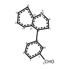 O=Cc1cccc(-c2ccnc3ccccc23)c1